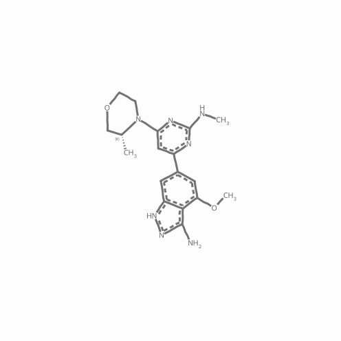 CNc1nc(-c2cc(OC)c3c(N)n[nH]c3c2)cc(N2CCOC[C@H]2C)n1